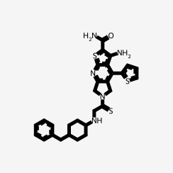 NC(=O)c1sc2nc3c(c(-c4cccs4)c2c1N)CN(C(=S)CNC1CCC(Cc2ccccc2)CC1)C3